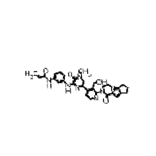 C=CC(=O)Nc1cccc(Nc2nc(-c3ccnc(N4CCn5c(cc6c5CCC6)C4=O)c3CO)cn(C)c2=O)c1